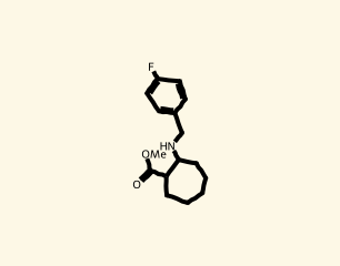 COC(=O)C1CCCCCC1NCc1ccc(F)cc1